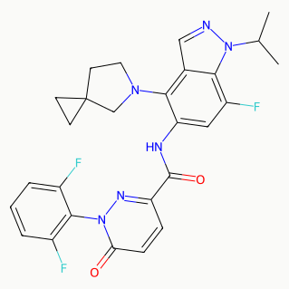 CC(C)n1ncc2c(N3CCC4(CC4)C3)c(NC(=O)c3ccc(=O)n(-c4c(F)cccc4F)n3)cc(F)c21